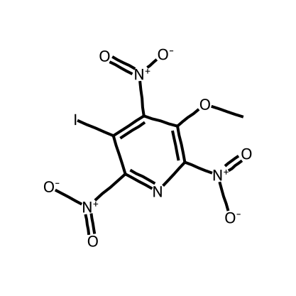 COc1c([N+](=O)[O-])nc([N+](=O)[O-])c(I)c1[N+](=O)[O-]